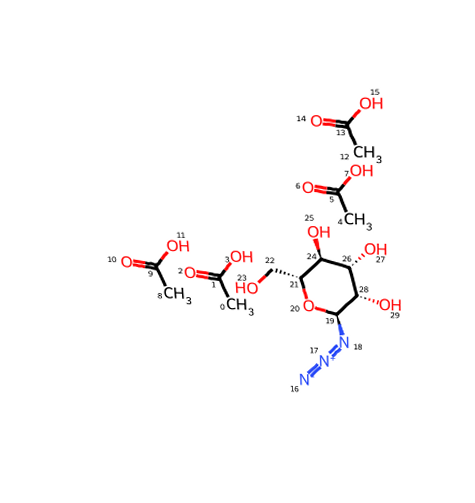 CC(=O)O.CC(=O)O.CC(=O)O.CC(=O)O.[N-]=[N+]=N[C@H]1O[C@H](CO)[C@@H](O)[C@H](O)[C@@H]1O